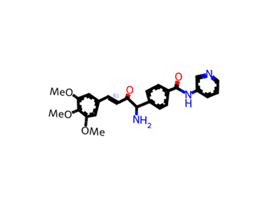 COc1cc(/C=C/C(=O)C(N)c2ccc(C(=O)Nc3cccnc3)cc2)cc(OC)c1OC